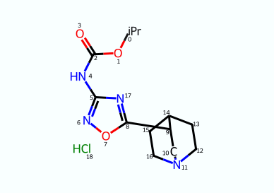 CC(C)OC(=O)Nc1noc(C2CN3CCC2CC3)n1.Cl